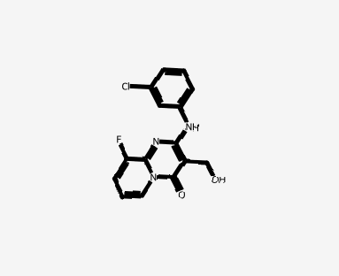 O=c1c(CO)c(Nc2cccc(Cl)c2)nc2c(F)cccn12